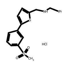 CC(C)CNCc1ccc(-c2cccc(S(C)(=O)=O)c2)s1.Cl